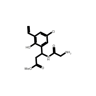 C=Cc1cc(Cl)cc(C(CC(=O)OC)NC(=O)CN)c1O